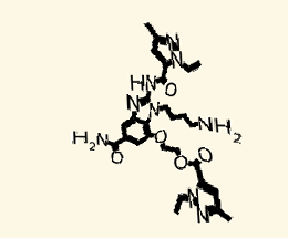 CCn1nc(C)cc1C(=O)Nc1nc2cc(C(N)=O)cc(OCCOC(=O)c3cc(C)nn3CC)c2n1CCCCN